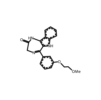 COCCOc1cccc(C2=NCC(=O)Nc3c2[nH]c2ccccc32)c1